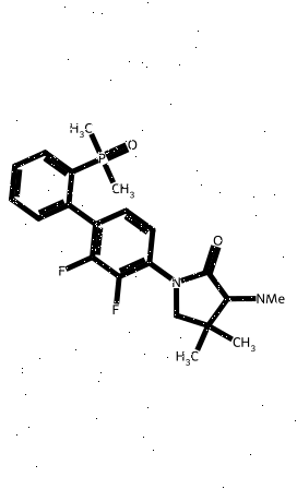 CNC1C(=O)N(c2ccc(-c3ccccc3P(C)(C)=O)c(F)c2F)CC1(C)C